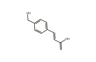 C=C(O)/C=C/c1ccc(CO)cc1